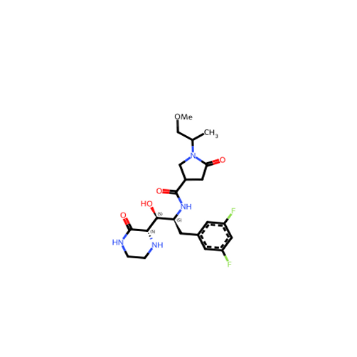 COCC(C)N1CC(C(=O)N[C@@H](Cc2cc(F)cc(F)c2)[C@H](O)[C@@H]2NCCNC2=O)CC1=O